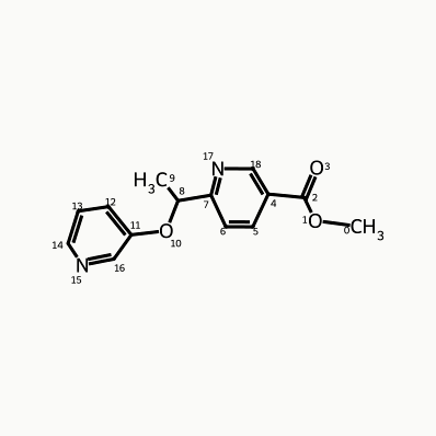 COC(=O)c1ccc(C(C)Oc2cccnc2)nc1